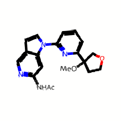 COC1(c2cccc(-n3ccc4cnc(NC(C)=O)cc43)n2)CCOC1